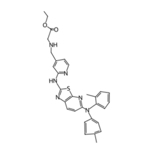 CCOC(=O)CNCc1ccnc(Nc2nc3ccc(N(c4ccc(C)cc4)c4ccccc4C)nc3s2)c1